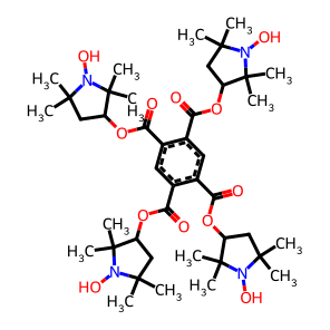 CC1(C)CC(OC(=O)c2cc(C(=O)OC3CC(C)(C)N(O)C3(C)C)c(C(=O)OC3CC(C)(C)N(O)C3(C)C)cc2C(=O)OC2CC(C)(C)N(O)C2(C)C)C(C)(C)N1O